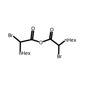 CCCCCCC(Br)C(=O)OC(=O)C(Br)CCCCCC